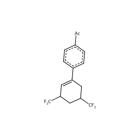 CC(=O)c1ccc(C2=CC(C(F)(F)F)CC(C(F)(F)F)C2)cc1